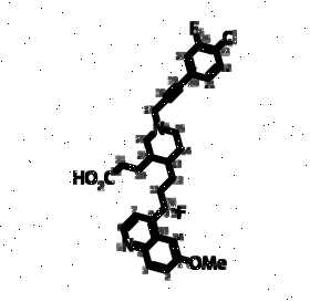 COc1ccc2nccc([C@@H](F)CCC3CCN(CC#Cc4ccc(Cl)c(F)c4)CC3CCC(=O)O)c2c1